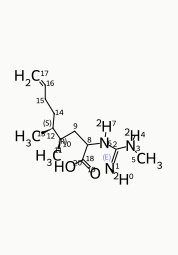 [2H]/N=C(\N([2H])C)N([2H])C(C[C@@H](C)[C@@H](C)CCC=C)C(=O)O